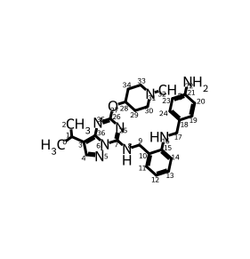 CC(C)c1cnn2c(NCc3ccccc3NCc3ccc(N)cc3)nc(OC3CCN(C)CC3)nc12